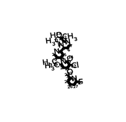 Cc1cnc(-c2ccnc(C(C)(C)O)n2)cc1-n1c(C)cc(OCc2cccc(F)n2)c(Cl)c1=O